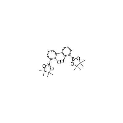 CC1(C)OB(c2cccc(-c3cccc(B4OC(C)(C)C(C)(C)O4)c3Cl)c2Cl)OC1(C)C